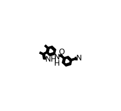 Cc1ccc(NC(=O)c2cccc(C#N)c2)c2[nH]cc(C)c12